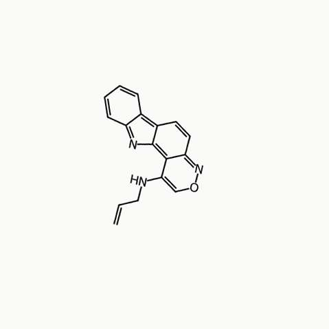 C=CCNc1conc2ccc3c4ccccc4nc3c12